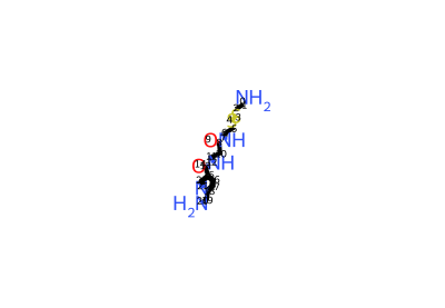 NCCSSCCNC(=O)CCNC(=O)c1ccc(CN)nc1